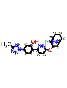 Cc1nnn(-c2ccc(-c3ccc(O[C@@H]4CC5CCCC(N5)[C@H]4F)nn3)c(O)c2)n1